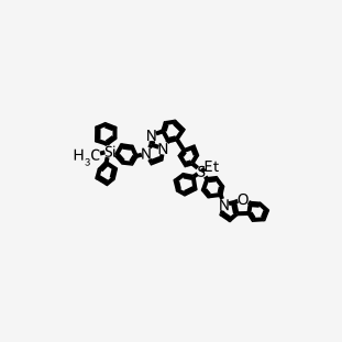 CCS(c1ccccc1)(c1ccc(-c2cccc3nc4n(-c5ccc([Si](C)(c6ccccc6)c6ccccc6)cc5)ccn4c23)cc1)c1ccc(-n2ccc3c4ccccc4oc32)cc1